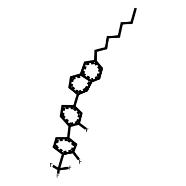 CCCCCCCc1ccc2cc(-c3ccc(-c4ccc(C(F)(F)F)c(F)c4)c(F)c3)ccc2c1